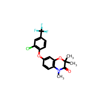 CN1C(=O)C(C)(C)Oc2cc(Oc3ccc(C(F)(F)F)cc3Cl)ccc21